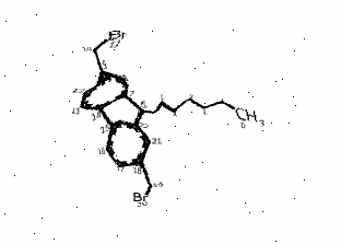 CCCCCCC1c2cc(CBr)ccc2-c2ccc(CBr)cc21